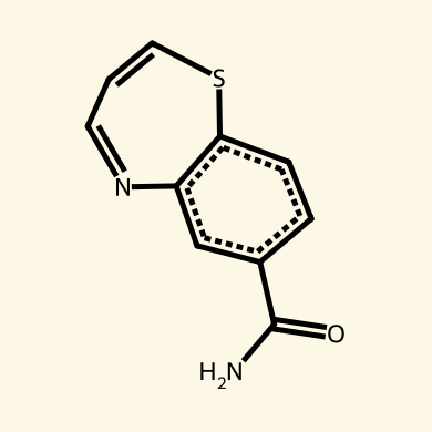 NC(=O)c1ccc2c(c1)N=CC=CS2